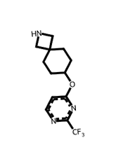 FC(F)(F)c1nccc(OC2CCC3(CC2)CNC3)n1